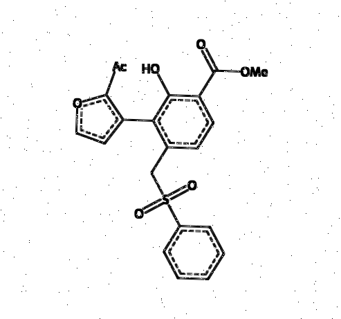 COC(=O)c1ccc(CS(=O)(=O)c2ccccc2)c(-c2ccoc2C(C)=O)c1O